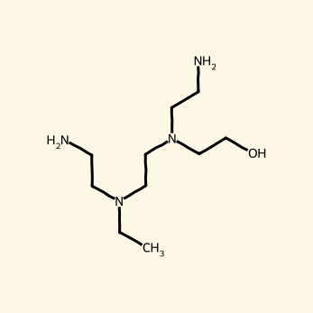 CCN(CCN)CCN(CCN)CCO